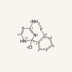 NC1=NC(Cl)(c2ccccc2F)NC=C1